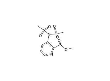 COC(=O)c1ncccc1N(S(C)(=O)=O)S(C)(=O)=O